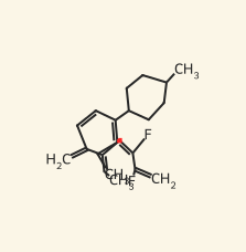 C=C(F)/C(F)=C\C(=C/C)C(=C)/C=C\C(=C/CC)C1CCC(C)CC1